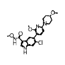 CONC(=O)c1c[nH]c2cc(Cl)c(-c3ccc(N4CCC(OC)CC4)nc3OC)cc12